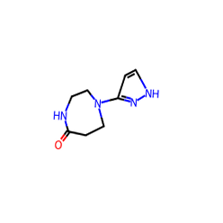 O=C1CCN(c2cc[nH]n2)CCN1